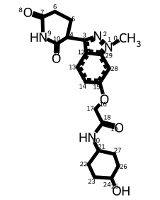 Cn1nc(C2CCC(=O)NC2=O)c2ccc(OCC(=O)NC3CCC(O)CC3)cc21